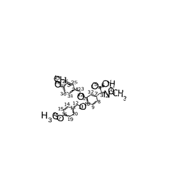 CO/N=C(\C(=O)O)c1ccc(OCc2ccc(OC)cc2)c(OCc2ccc(OC)cc2)c1